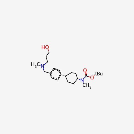 CN(CCCO)Cc1ccc([C@H]2CC[C@H](N(C)C(=O)OC(C)(C)C)CC2)cc1